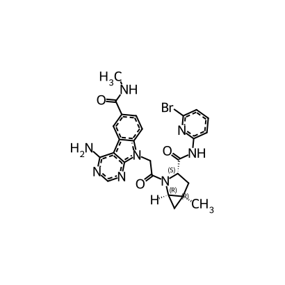 CNC(=O)c1ccc2c(c1)c1c(N)ncnc1n2CC(=O)N1[C@H](C(=O)Nc2cccc(Br)n2)C[C@@]2(C)C[C@@H]12